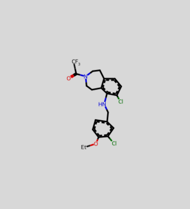 CCOc1ccc(CNc2c(Cl)ccc3c2CCN(C(=O)C(F)(F)F)CC3)cc1Cl